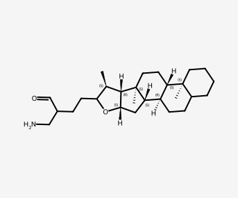 C[C@@H]1C(CCC(C=O)CN)O[C@H]2C[C@H]3[C@@H]4CCC5CCCC[C@]5(C)[C@H]4CC[C@]3(C)[C@H]21